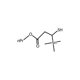 CCCOC(=O)C[CH](S)[Sn]([CH3])([CH3])[CH3]